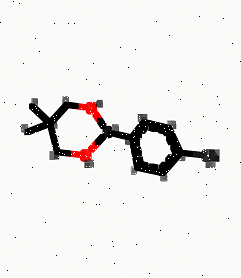 CC1(C)COB(c2ccc(C#N)cc2)OC1